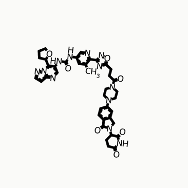 Cc1cc(NC(=O)Nc2cnc3ccnn3c2C2CCCO2)cnc1-c1noc(CCC(=O)N2CCN(c3ccc4c(c3)CN(C3CCC(=O)NC3=O)C4=O)CC2)n1